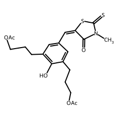 CC(=O)OCCCc1cc(C=C2SC(=S)N(C)C2=O)cc(CCCOC(C)=O)c1O